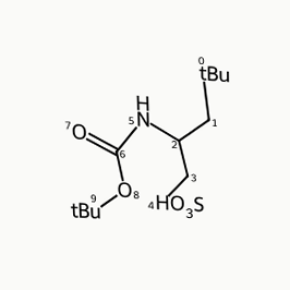 CC(C)(C)CC(CS(=O)(=O)O)NC(=O)OC(C)(C)C